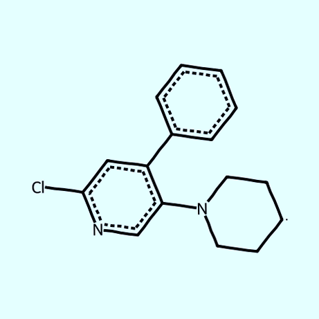 Clc1cc(-c2ccccc2)c(N2CC[CH]CC2)cn1